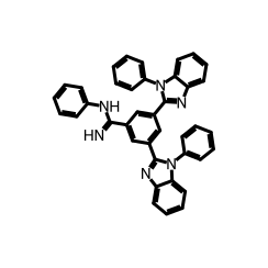 N=C(Nc1ccccc1)c1cc(-c2nc3ccccc3n2-c2ccccc2)cc(-c2nc3ccccc3n2-c2ccccc2)c1